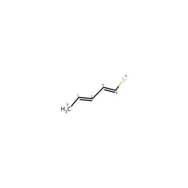 CC=CC=C[S]